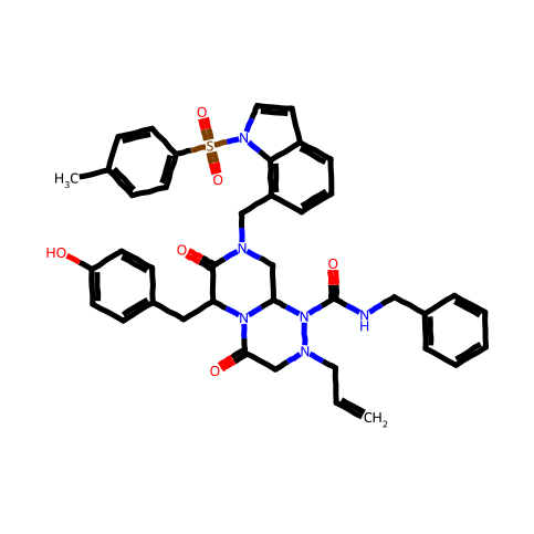 C=CCN1CC(=O)N2C(Cc3ccc(O)cc3)C(=O)N(Cc3cccc4ccn(S(=O)(=O)c5ccc(C)cc5)c34)CC2N1C(=O)NCc1ccccc1